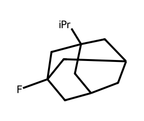 CC(C)C12CC3CC(CC(F)(C3)C1)C2